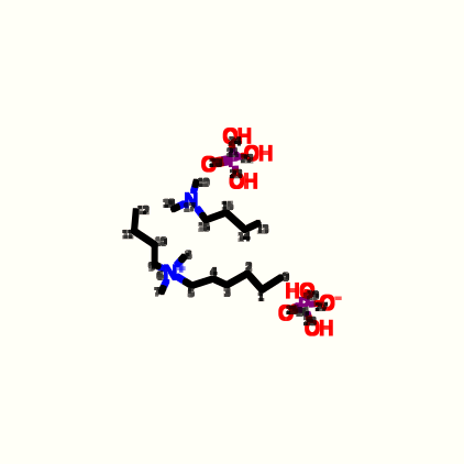 CCCCCC[N+](C)(C)CCCC.CCCCN(C)C.O=P(O)(O)O.O=P([O-])(O)O